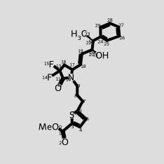 COC(=O)c1ccc(CCCN2C(=O)C(F)(F)CC2C=C[C@H](O)[C@@H](C)c2ccccc2)s1